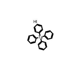 I.c1cc[c]([Ta]([c]2ccccc2)([c]2ccccc2)[c]2ccccc2)cc1